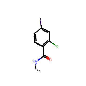 CC(C)(C)NC(=O)c1ccc(I)cc1Cl